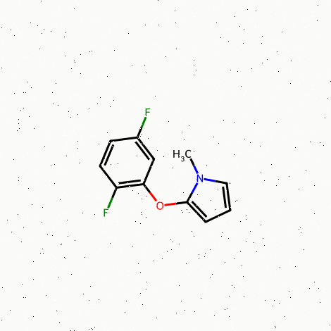 Cn1[c]ccc1Oc1cc(F)ccc1F